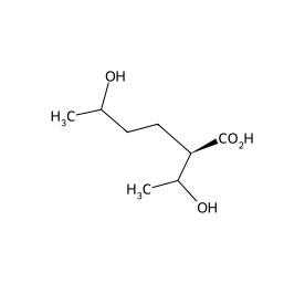 CC(O)CC[C@@H](C(=O)O)C(C)O